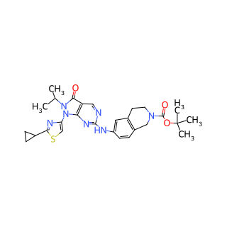 CC(C)n1c(=O)c2cnc(Nc3ccc4c(c3)CCN(C(=O)OC(C)(C)C)C4)nc2n1-c1csc(C2CC2)n1